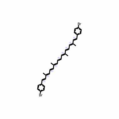 CC(/C=C/C=C(C)/C=C/c1ccc(Br)cc1)=C\C=C\C=C(C)\C=C\C=C(C)\C=C\c1ccc(Br)cc1